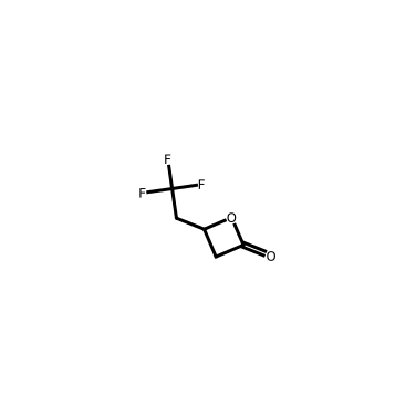 O=C1CC(CC(F)(F)F)O1